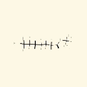 O=C(OC(F)(C(F)(F)F)C(F)(F)F)C(F)(F)C(F)(F)C(F)(F)C(F)(F)C(F)(F)C(F)(F)C(F)(F)F